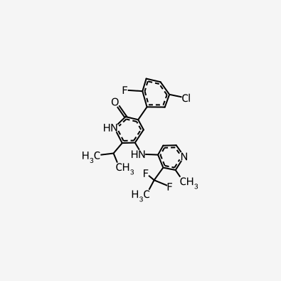 Cc1nccc(Nc2cc(-c3cc(Cl)ccc3F)c(=O)[nH]c2C(C)C)c1C(C)(F)F